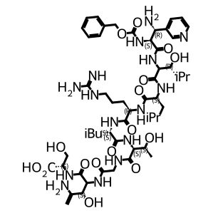 C=C(N)[C@@H](O)C(NC(=O)CNC(=O)[C@@H](NC(=O)[C@@H](NC(=O)[C@@H](CCCNC(=N)N)NC(=O)[C@H](CC(C)C)NC(=O)C(NC(=O)[C@@H](NC(=O)OCc1ccccc1)[C@H](N)c1cccnc1)[C@H](O)C(C)C)[C@@H](C)CC)[C@H](C)O)C(=O)N[C@@H](CO)C(=O)O